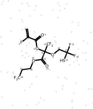 C=C(F)C(=O)OC(OCC(F)(F)S)(C(=O)OCCC(F)(F)F)C(F)(F)F